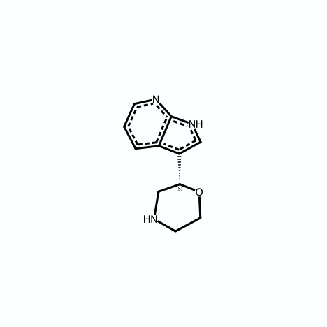 c1cnc2[nH]cc([C@H]3CNCCO3)c2c1